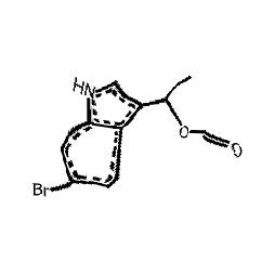 CC(OC=O)c1c[nH]c2cc(Br)ccc12